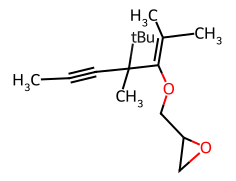 CC#CC(C)(C(OCC1CO1)=C(C)C)C(C)(C)C